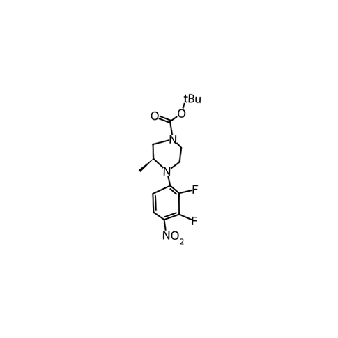 C[C@H]1CN(C(=O)OC(C)(C)C)CCN1c1ccc([N+](=O)[O-])c(F)c1F